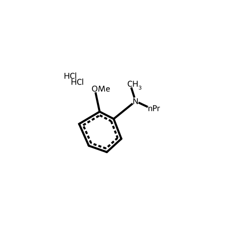 CCCN(C)c1ccccc1OC.Cl.Cl